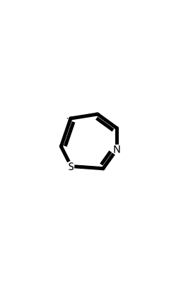 [C]1=CSC=NC=C1